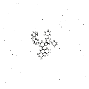 c1ccc(-c2cc(-c3ccccc3)nc(-c3cc(-c4ccc5sc6cccnc6c5c4)cc(-c4cc5ccccc5c5ccccc45)c3)n2)cc1